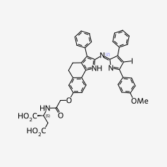 COc1ccc(C2=N/C(=N\c3[nH]c4c(c3-c3ccccc3)CCc3cc(OCC(=O)N[C@@H](CC(=O)O)C(=O)O)ccc3-4)C(c3ccccc3)=C2I)cc1